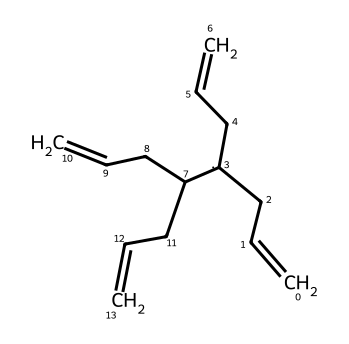 C=CC[C](CC=C)C(CC=C)CC=C